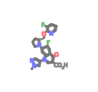 Cn1cc(-n2cc(C(=O)O)c(=O)c3cc(F)c(N4CCC[C@@H]4COc4ncccc4F)cc32)cn1